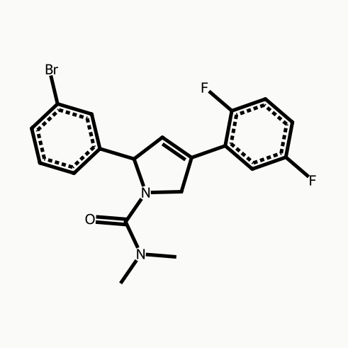 CN(C)C(=O)N1CC(c2cc(F)ccc2F)=CC1c1cccc(Br)c1